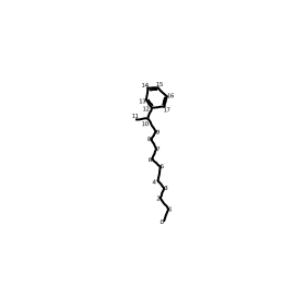 CCCCCCCCCC[C](C)c1ccccc1